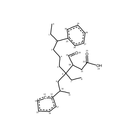 CCC(CCCC(CC)(CC(C)c1ccccc1)C(C=O)CC(=O)O)c1ccccc1